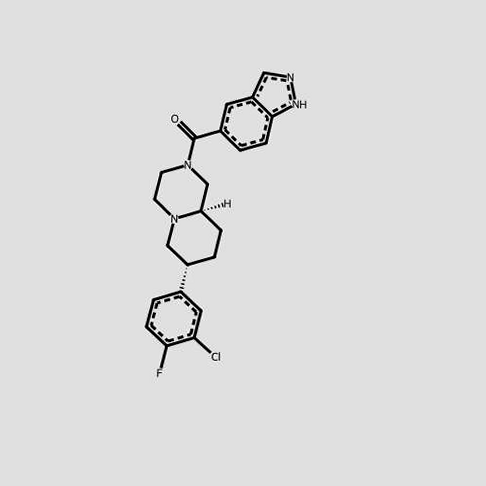 O=C(c1ccc2[nH]ncc2c1)N1CCN2C[C@@H](c3ccc(F)c(Cl)c3)CC[C@@H]2C1